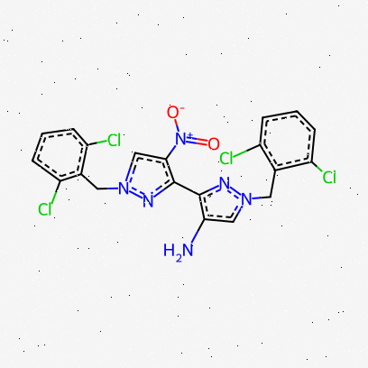 Nc1cn(Cc2c(Cl)cccc2Cl)nc1-c1nn(Cc2c(Cl)cccc2Cl)cc1[N+](=O)[O-]